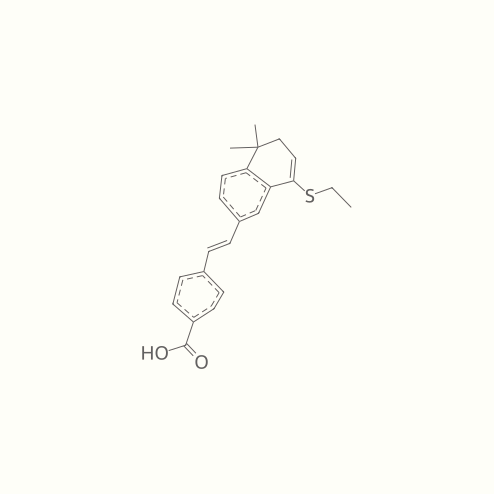 CCSC1=CCC(C)(C)c2ccc(C=Cc3ccc(C(=O)O)cc3)cc21